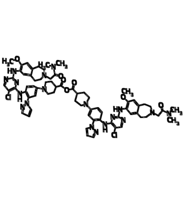 COc1cc2c(cc1Nc1ncc(Cl)c(Nc3ccc(N4CCC(C(=O)OC(=O)C5CCN(c6ccc(Nc7nc(Nc8cc9c(cc8OC)CCN(CC(=O)N(C)C)CC9)ncc7Cl)c(-n7cccn7)c6)CC5)CC4)cc3-n3cccn3)n1)CCN(CC(=O)N(C)C)CC2